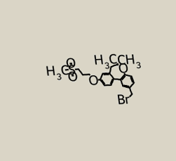 CC1(C)Cc2cc(OCCCS(C)(=O)=O)ccc2-c2cc(CBr)ccc2O1